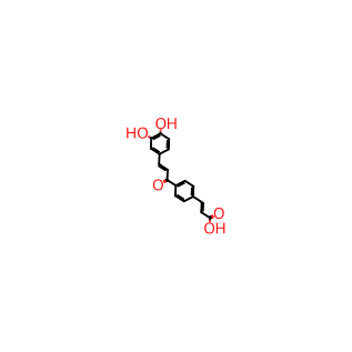 O=C(O)C=Cc1ccc(C(=O)C=Cc2ccc(O)c(O)c2)cc1